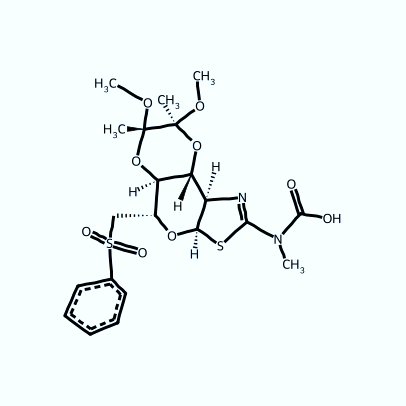 CO[C@@]1(C)O[C@@H]2[C@H]3N=C(N(C)C(=O)O)S[C@H]3O[C@H](CS(=O)(=O)c3ccccc3)[C@H]2O[C@]1(C)OC